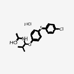 CC(O)NC(Oc1ccc(Sc2ccc(Cl)cc2)cc1)C(C)C.Cl